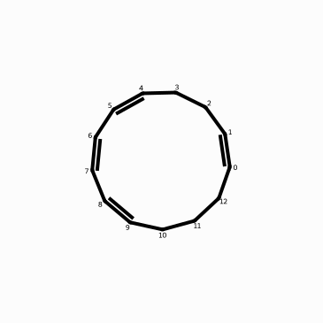 [C]1=CCCC=CC=CC=CCCC1